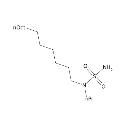 CCCCCCCCCCCCCCN(CCC)S(N)(=O)=O